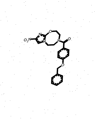 O=C(c1ccc(OCc2ccccc2)cc1)N1CCOc2nc([N+](=O)[O-])cn2CC1